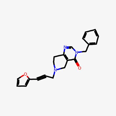 O=c1c2c(ncn1Cc1ccccc1)CCN(CC#Cc1ccco1)C2